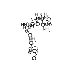 C1CNCCN1.Cc1ccc(N)cc1.NCC(=O)c1ccccc1.NCc1ccccc1.Nc1ccc(-c2ccc(N)cc2)cc1.Nc1ccc(N)cc1.Nc1cccc([N+](=O)[O-])c1.O=[N+]([O-])c1ccnc(Cc2ccccc2)c1